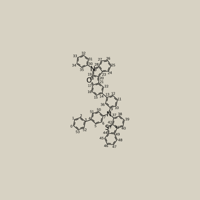 c1ccc(-c2ccc(N(c3cccc(-c4ccc5oc6c(c5c4)c4ccccc4n6-c4ccccc4)c3)c3cccc4c3sc3ccccc34)cc2)cc1